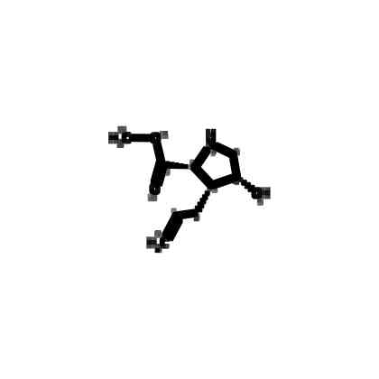 C=CC[C@H]1[C@@H](O)CN[C@H]1C(=O)OC